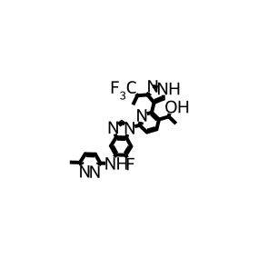 Cc1ccc(Nc2cc3ncn(-c4ccc(C(C)O)c(-c5c[nH]nc5C(C)C(F)(F)F)n4)c3cc2F)nn1